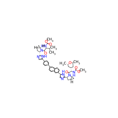 COC(=O)NC(C(=O)N1C2C[C@@H]2C[C@H]1c1ncc(-c2ccc3cc(-c4ccc(-c5cnc([C@@H]6C[C@H]7C[C@H]7N6C(=O)[C@@H](NC(=O)OC)C(C)C)[nH]5)cc4)ccc3c2)[nH]1)[C@H]1C[C@@H](C)O[C@@H](C)C1